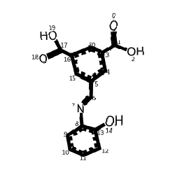 O=C(O)c1cc(C=Nc2ccccc2O)cc(C(=O)O)c1